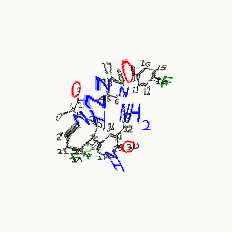 C[C@@H](C(=O)Nc1cnc(Oc2ccc(F)cc2)cn1)N1CCC(F)(F)[C@@H](c2c[nH]c(=O)c(CN)c2)C1